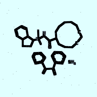 C=C(C(=C)c1ccccc1)c1ccccc1.[CH3][Ti]([CH3])([NH]C(=O)C1CCCCCCCCCCC1)[CH]1CCC2C=CC=CC21.[SiH4]